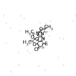 CCOC(=O)C(C)Oc1cc(N=c2snc3n2CC(C)O3)c(F)cc1Cl